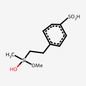 CO[Si](C)(O)CCc1ccc(S(=O)(=O)O)cc1